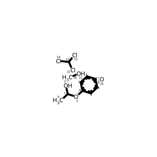 CC(O)Oc1ccccc1.CO.ClC(Cl)Cl.O